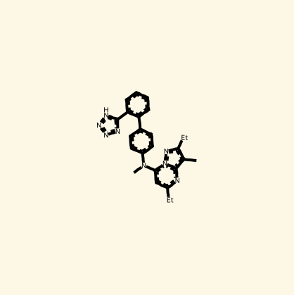 CCc1cc(N(C)c2ccc(-c3ccccc3-c3nnn[nH]3)cc2)n2nc(CC)c(C)c2n1